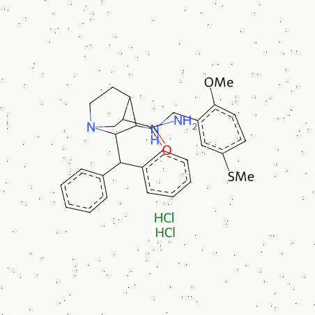 COc1ccc(SC)cc1CNC1C2CCN(CC2C(N)=O)C1C(c1ccccc1)c1ccccc1.Cl.Cl